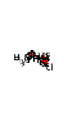 CC(C)(C)OC(=O)N1CCCC[C@@H]1CSCC[C@@H]1OCC[C@@]2(S(=O)(=O)c3ccc(Cl)cc3)c3c(F)ccc(F)c3OC[C@@H]12